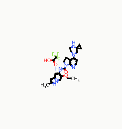 CCOc1cn2nc(C)cc2cc1NC(=O)N1CCc2c(N3CCNC4(CC4)C3)ccnc21.O=C(O)C(F)(F)F